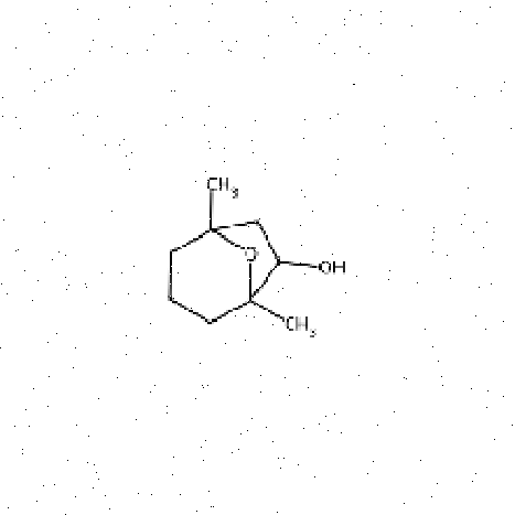 CC12CCCC(C)(O1)C(O)C2